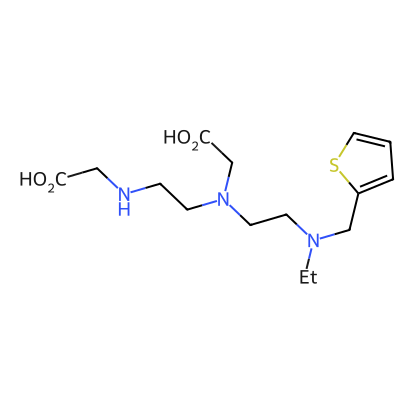 CCN(CCN(CCNCC(=O)O)CC(=O)O)Cc1cccs1